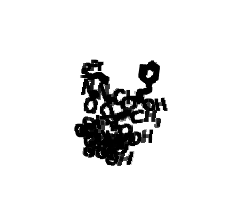 CCCSc1ccn([C@@H](C)O[C@H](COP(=O)(O)OP(=O)(O)OP(=O)(O)OP(=O)(O)OC(C)C)[C@@H](C)OC(O)CCc2ccccc2)c(=O)n1